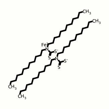 CCCCCCCCCCCCN(CCCCCCCCCCCC)C(=S)[S-].CCCCCCCCCCCCN(CCCCCCCCCCCC)C(=S)[S-].[Fe+2]